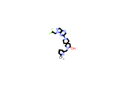 OC1CC2(CCN(c3cnc4cnn(CC(F)F)c4n3)CC2)CN1Cc1cccc(C(F)(F)F)n1